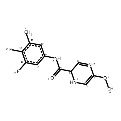 COC1=CNC(C(=O)Nc2cc(C)c(F)c(F)c2)C=N1